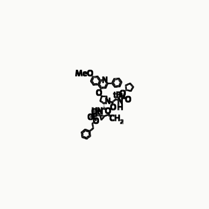 C=CC1CC1(NC(=O)[C@@H]1C[C@@H](Oc2cc(-c3ccccc3)nc3cc(OC)ccc23)CN1C(=O)[C@@H](NC(=O)OC1CCCC1)C(C)(C)C)P(=O)(O)OCCc1ccccc1